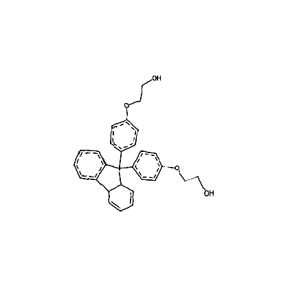 OCCOc1ccc(C2(c3ccc(OCCO)cc3)c3ccccc3C3C=CC=CC32)cc1